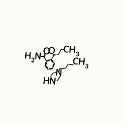 CCCC(=O)c1ccccc1C(N)=O.CCCCCN1CCNCC1